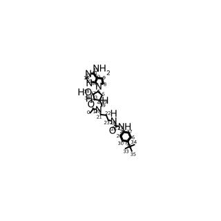 CC1O[C@@H]2[C@H](C[C@@H](n3ccc4c(N)ncnc43)[C@@H]2O)CN1CCCNC(=O)Nc1ccc(C(C)(C)C)cc1